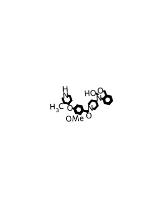 COc1cc(OC2CCNCC2C)ccc1C(=O)N1CCC(N2c3ccccc3COC2O)CC1